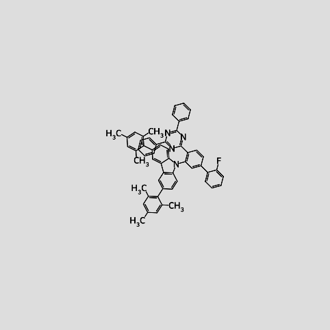 Cc1cc(C)c(-c2ccc3c(c2)c2cc(-c4c(C)cc(C)cc4C)ccc2n3-c2cc(-c3ccccc3F)ccc2-c2nc(-c3ccccc3)nc(-c3ccccc3)n2)c(C)c1